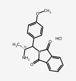 COc1ccc(C([C@@H](C)N)N2C(=O)c3ccccc3C2=O)cc1.Cl